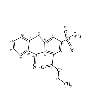 CCOC(=O)c1cc(S(C)(=O)=O)cc2sc3ccccc3c(=O)c12